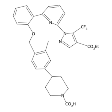 CCOC(=O)c1cnn(-c2cccc(-c3ccccc3OCc3ccc(C4CCN(C(=O)O)CC4)cc3C)n2)c1C(F)(F)F